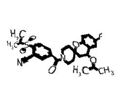 CC(C)OC1CC2(CCN(C(=O)c3ccc(S(=O)(=O)C(C)C)c(C#N)c3)CC2)Oc2ccc(F)cc21